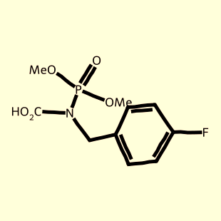 COP(=O)(OC)N(Cc1ccc(F)cc1)C(=O)O